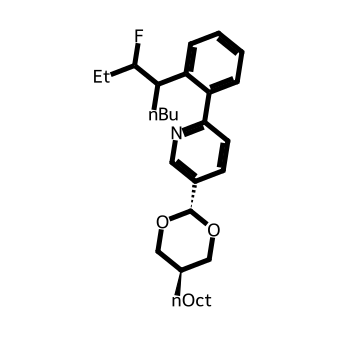 CCCCCCCC[C@H]1CO[C@H](c2ccc(-c3ccccc3C(CCCC)C(F)CC)nc2)OC1